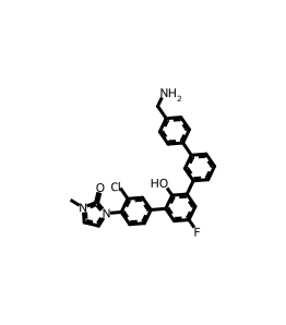 Cn1ccn(-c2ccc(-c3cc(F)cc(-c4cccc(-c5ccc(CN)cc5)c4)c3O)cc2Cl)c1=O